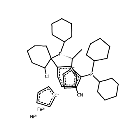 CC([c-]1cccc1P(C1CCCCC1)C1CCCCC1)[P@@](C1CCCCC1)C1(c2ccc(C#N)cc2)CCCCC1Cl.[Fe+2].[Ni+2].c1cc[cH-]c1